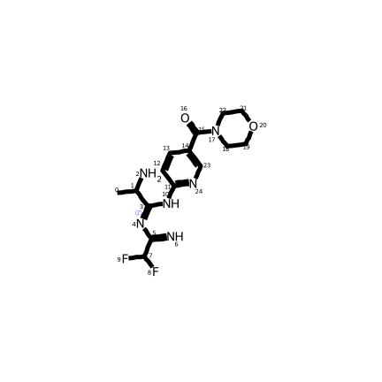 CC(N)/C(=N/C(=N)C(F)F)Nc1ccc(C(=O)N2CCOCC2)cn1